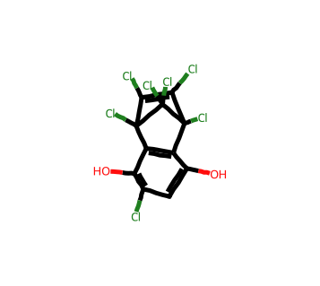 Oc1cc(Cl)c(O)c2c1C1(Cl)C(Cl)=C(Cl)C2(Cl)C1(Cl)Cl